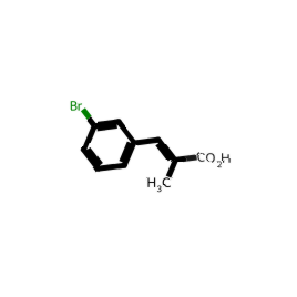 CC(=Cc1cccc(Br)c1)C(=O)O